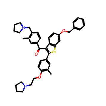 Cc1cc(C(=O)c2c(-c3ccc(OCCN4CCCC4)c(C)c3)sc3cc(OCc4ccccc4)ccc23)ccc1CN1CCCC1